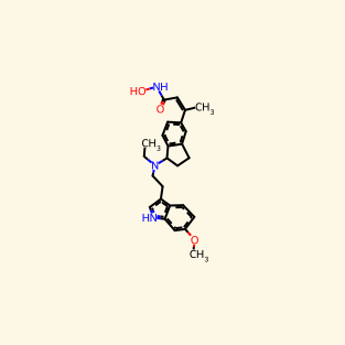 CCN(CCc1c[nH]c2cc(OC)ccc12)C1CCc2cc(/C(C)=C\C(=O)NO)ccc21